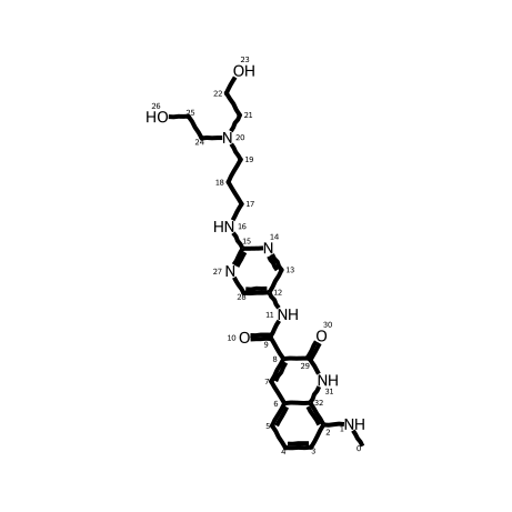 CNc1cccc2cc(C(=O)Nc3cnc(NCCCN(CCO)CCO)nc3)c(=O)[nH]c12